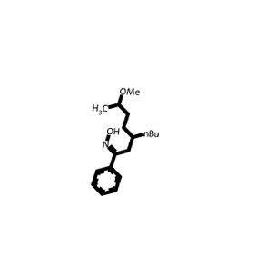 CCCCC(CCC(C)OC)CC(=NO)c1ccccc1